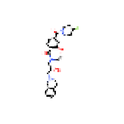 O=C(c1ccc2c(c1)OCCN(CC(O)CN1CCc3ccccc3C1)C2=O)N1CCC(F)CC1